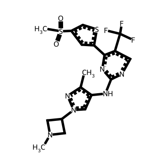 Cc1nn(C2CN(C)C2)cc1Nc1ncc(C(F)(F)F)c(-c2cc(S(C)(=O)=O)cs2)n1